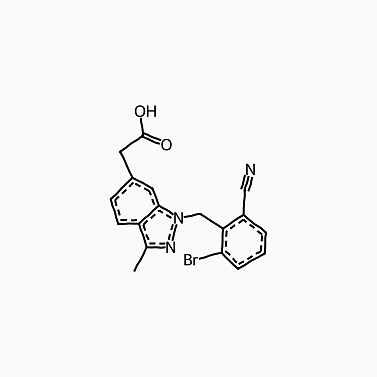 Cc1nn(Cc2c(Br)cccc2C#N)c2cc(CC(=O)O)ccc12